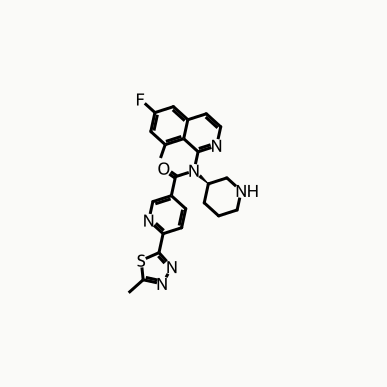 Cc1nnc(-c2ccc(C(=O)N(c3nccc4cc(F)cc(C)c34)[C@@H]3CCCNC3)cn2)s1